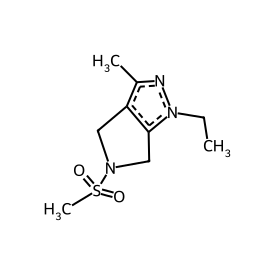 CCn1nc(C)c2c1CN(S(C)(=O)=O)C2